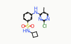 Cc1cnc(Cl)nc1Nc1cccc(S(=O)(=O)NC2CCC2)c1